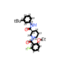 CCOc1cccc(F)c1C(=O)N1CCC[C@H](C(=O)Nc2cccc(C(C)(C)C)c2)C1